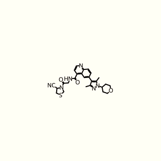 Cc1nn(C2CCOCC2)c(C)c1-c1ccc2nccc(C(=O)NCC(=O)N3CSCC3C#N)c2c1